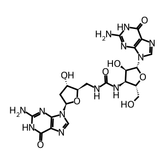 Nc1nc2c(ncn2[C@@H]2O[C@H](CO)[C@@H](NC(=O)NC[C@H]3O[C@@H](n4cnc5c(=O)[nH]c(N)nc54)C[C@@H]3O)[C@H]2O)c(=O)[nH]1